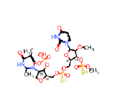 COC1C(n2ccc(=O)[nH]c2=O)O[C@H](COP(=O)(S)OC[C@H]2OC[C@@H](N3C=C(C)C(=O)NC3C)C2OP(=O)(O)O)[C@@H]1OP(=O)(S)OC